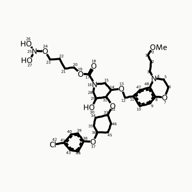 COCCCN1CCOc2ccc(COC3CN(C(=O)OCCCCON(O)O)CC(O)C3OC3CCC(Oc4ccc(Cl)cc4)CC3)cc21